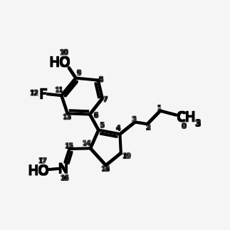 CCCCC1=C(c2ccc(O)c(F)c2)C(C=NO)CC1